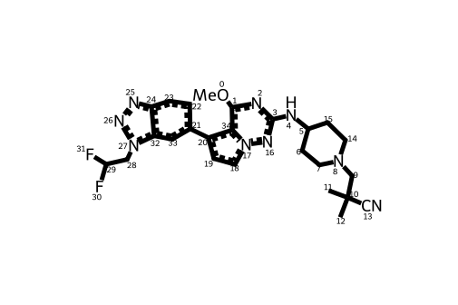 COc1nc(NC2CCN(CC(C)(C)C#N)CC2)nn2ccc(-c3ccc4nnn(CC(F)F)c4c3)c12